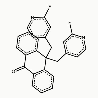 O=C1c2ccccc2C(Cc2ccnc(F)c2)(Cc2ccnc(F)c2)c2ccccc21